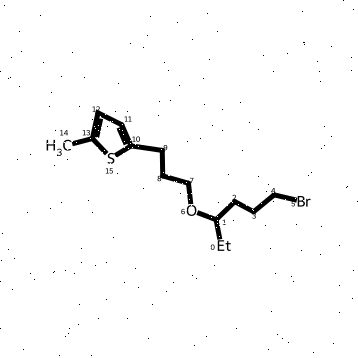 CCC(CCCBr)OCCCc1ccc(C)s1